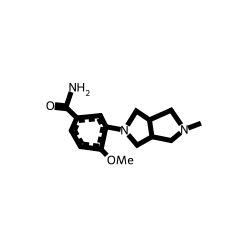 COc1ccc(C(N)=O)cc1N1CC2CN(C)CC2C1